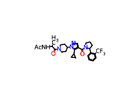 CC(=O)NC(C)C(=O)N1CCC(n2ncc(C(=O)N3CCCC3c3ccccc3C(F)(F)F)c2C2CC2)CC1